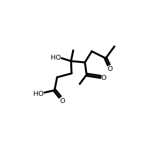 CC(=O)CC(C(C)=O)C(C)(O)CCC(=O)O